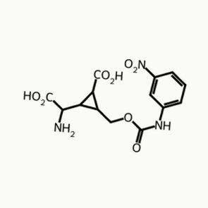 NC(C(=O)O)C1C(COC(=O)Nc2cccc([N+](=O)[O-])c2)C1C(=O)O